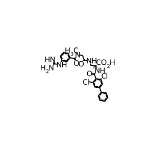 CN(CC(=O)NC[C@@H](NC(=O)c1c(Cl)cc(-c2ccccc2)cc1Cl)C(=O)O)C(=O)c1cccc(NC(=N)N)c1